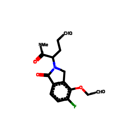 CNC(=O)C(CCC=O)N1Cc2c(ccc(F)c2OCC=O)C1=O